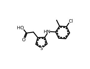 Cc1c(Cl)cccc1Nc1cscc1CC(=O)O